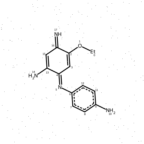 CCOC1=C/C(=N\c2ccc(N)cc2)C(N)=CC1=N